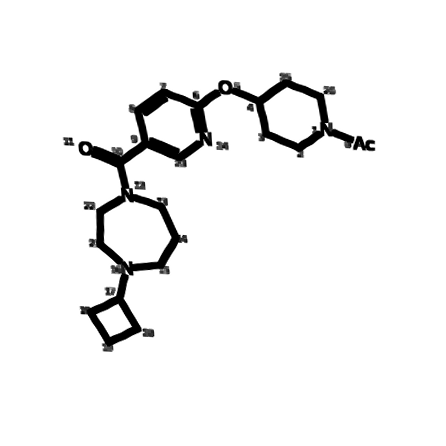 CC(=O)N1CCC(Oc2ccc(C(=O)N3CCCN(C4CCC4)CC3)cn2)CC1